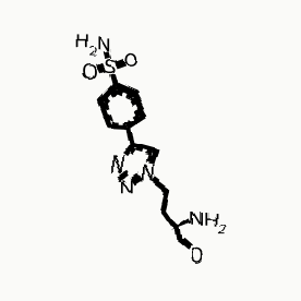 N[C@@H](C=O)CCn1cc(-c2ccc(S(N)(=O)=O)cc2)nn1